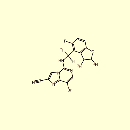 [2H]C1Oc2ccc(F)c(C([2H])([2H])Nc3ncc(Br)c4nc(C#N)cn34)c2C1[2H]